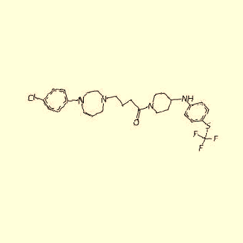 O=C(CCCN1CCCN(c2ccc(Cl)cc2)CC1)N1CCC(Nc2ccc(SC(F)(F)F)cc2)CC1